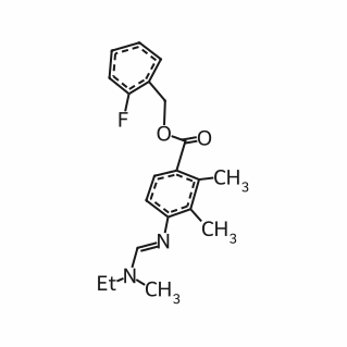 CCN(C)/C=N/c1ccc(C(=O)OCc2ccccc2F)c(C)c1C